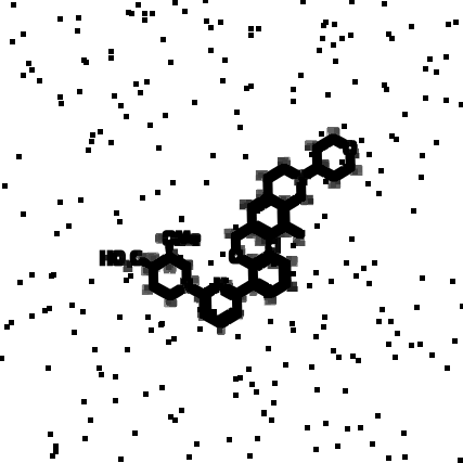 CO[C@H]1CN(c2cccc(-c3cccc(Cl)c3OCc3cc(C)c4c(c3)CCN(C3CCOCC3)C4)n2)CC[C@H]1C(=O)O